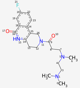 CN(C)CCN(C)CCC(=O)N1CCc2[nH]c(=O)c3cc(F)ccc3c2C1